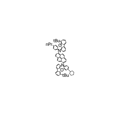 CCCc1ccc(N(c2ccc3ccc4c(N(c5ccc(C6CCCCC6)cc5)c5cccc6c5oc5c(C(C)(C)C)cccc56)ccc5ccc2c3c54)c2cccc3c2oc2c(C(C)(C)C)cccc23)cc1